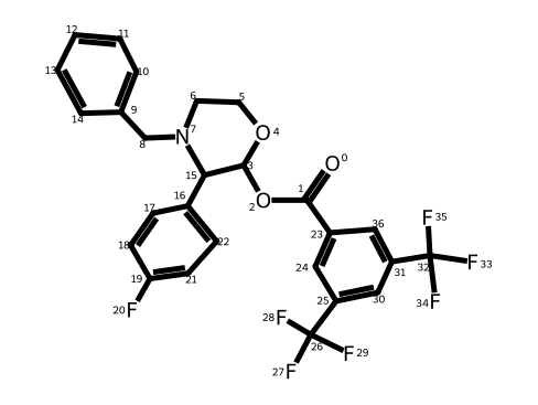 O=C(OC1OCCN(Cc2ccccc2)C1c1ccc(F)cc1)c1cc(C(F)(F)F)cc(C(F)(F)F)c1